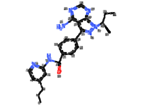 CCCc1ccnc(NC(=O)c2ccc(-c3nn([C@H](C)CC)c4ncnc(N)c34)cc2)c1